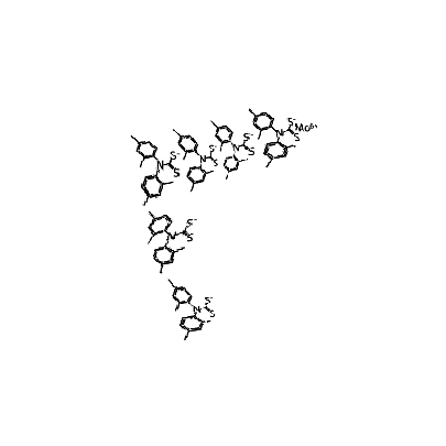 Cc1ccc(N(C(=S)[S-])c2ccc(C)cc2C)c(C)c1.Cc1ccc(N(C(=S)[S-])c2ccc(C)cc2C)c(C)c1.Cc1ccc(N(C(=S)[S-])c2ccc(C)cc2C)c(C)c1.Cc1ccc(N(C(=S)[S-])c2ccc(C)cc2C)c(C)c1.Cc1ccc(N(C(=S)[S-])c2ccc(C)cc2C)c(C)c1.Cc1ccc(N(C(=S)[S-])c2ccc(C)cc2C)c(C)c1.[Mo+6]